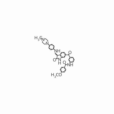 COc1ccc(C(=O)Nc2cccc(C(=O)c3ccc4c(c3)NC(=O)/C4=C/Nc3ccc(N4CCN(C)CC4)cc3)c2)cc1